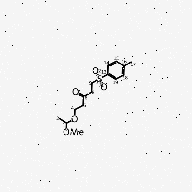 COC(C)OCCC(=O)CCS(=O)(=O)c1ccc(C)cc1